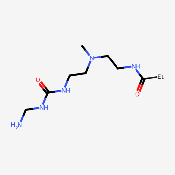 CCC(=O)NCCN(C)CCNC(=O)NCN